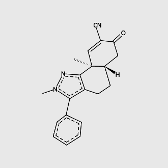 Cn1nc2c(c1-c1ccccc1)CC[C@H]1CC(=O)C(C#N)=C[C@]21C